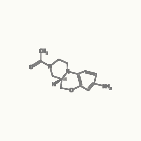 CC(=O)N1CCN2c3ccc(N)cc3OC[C@@H]2C1